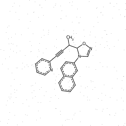 CC(C#Cc1ccccn1)C1ON=CN1c1ccc2ccccc2c1